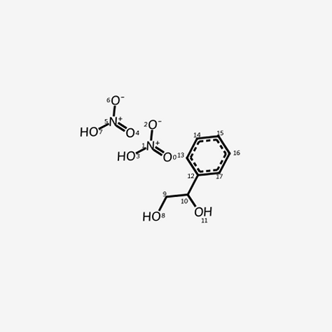 O=[N+]([O-])O.O=[N+]([O-])O.OCC(O)c1ccccc1